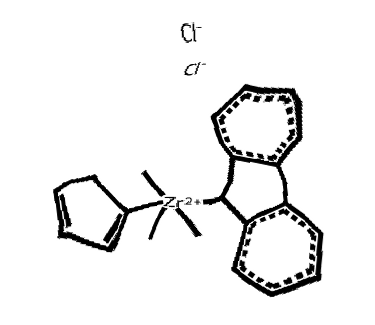 [CH3][Zr+2]([CH3])([CH3])([C]1=CC=CC1)[CH]1c2ccccc2-c2ccccc21.[Cl-].[Cl-]